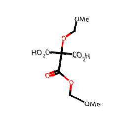 COCOC(=O)C(OCOC)(C(=O)O)C(=O)O